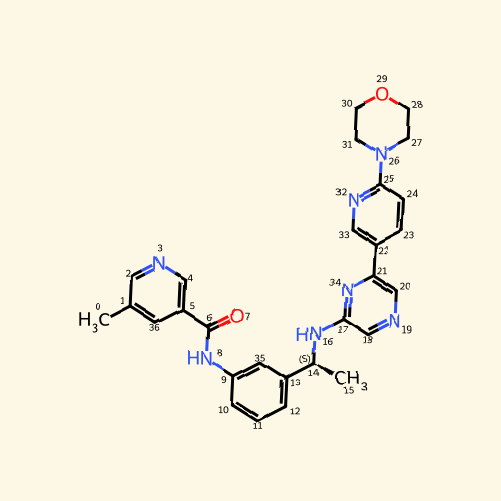 Cc1cncc(C(=O)Nc2cccc([C@H](C)Nc3cncc(-c4ccc(N5CCOCC5)nc4)n3)c2)c1